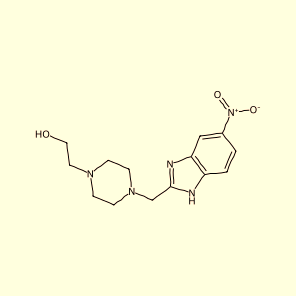 O=[N+]([O-])c1ccc2[nH]c(CN3CCN(CCO)CC3)nc2c1